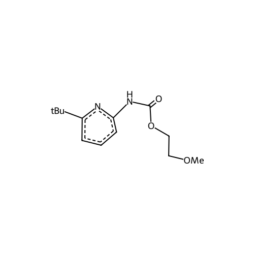 COCCOC(=O)Nc1cccc(C(C)(C)C)n1